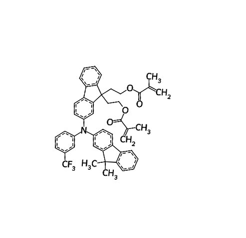 C=C(C)C(=O)OCCC1(CCOC(=O)C(=C)C)c2ccccc2-c2ccc(N(c3cccc(C(F)(F)F)c3)c3ccc4c(c3)C(C)(C)c3ccccc3-4)cc21